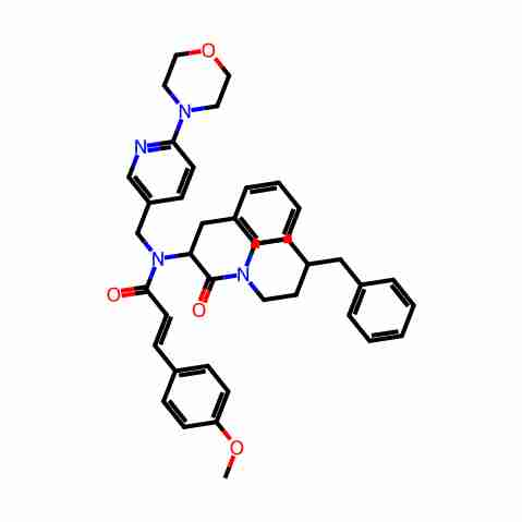 COc1ccc(C=CC(=O)N(Cc2ccc(N3CCOCC3)nc2)C(Cc2ccccc2)C(=O)N2CCC(Cc3ccccc3)CC2)cc1